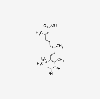 [3H]C1CC(C)(C)C(C=CC(C)=CC=CC(C)=CC(=O)O)=C(C)C1[3H]